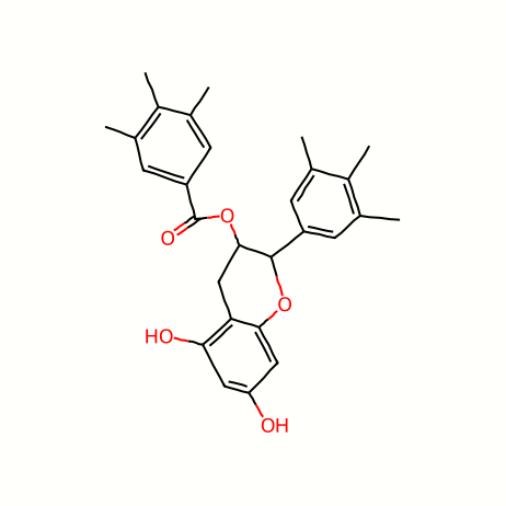 Cc1cc(C(=O)OC2Cc3c(O)cc(O)cc3OC2c2cc(C)c(C)c(C)c2)cc(C)c1C